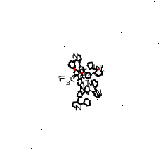 N#Cc1c(-n2c3ccc(-c4cccnc4-c4ccccc4)cc3c3cc(-c4cccnc4-c4ccccc4)ccc32)ccc(-c2c(C(F)(F)F)cccc2C(F)(F)F)c1-n1c2ccc(-c3cccnc3-c3ccccc3)cc2c2cc(-c3cccnc3-c3ccccc3)ccc21